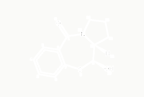 O=C1c2ccccc2S[C@@H](O)[C@@H]2CCCN12